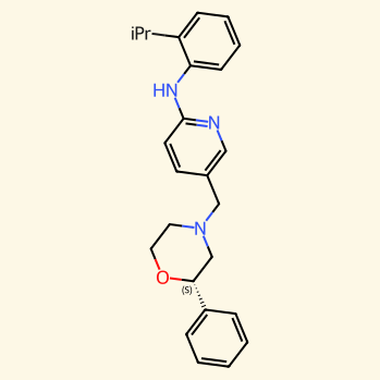 CC(C)c1ccccc1Nc1ccc(CN2CCO[C@@H](c3ccccc3)C2)cn1